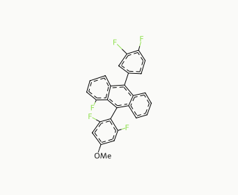 COc1cc(F)c(-c2c3ccccc3c(-c3ccc(F)c(F)c3)c3cccc(F)c23)c(F)c1